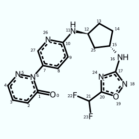 O=c1cccnn1-c1ccc(N[C@H]2CC[C@H](Nc3noc(C(F)F)n3)C2)nc1